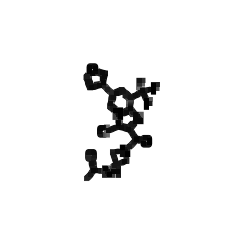 CC(=O)NC1CN(C(=O)c2nc3c(C(F)(F)F)cc(-c4ccoc4)cn3c2Cl)C1